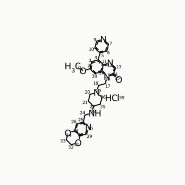 COc1cc(-c2ccncc2)c2ncc(=O)n(CCN3CCC(NCc4cc5c(cn4)OCCO5)CC3)c2c1.Cl